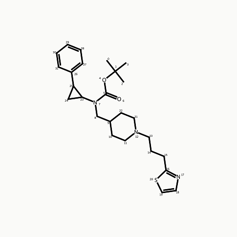 CC(C)(C)OC(=O)N(CC1CCN(CCCc2nccs2)CC1)C1CC1c1ccccc1